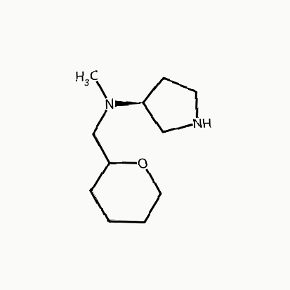 CN(CC1CCCCO1)[C@H]1CCNC1